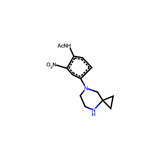 CC(=O)Nc1ccc(N2CCNC3(CC3)C2)cc1[N+](=O)[O-]